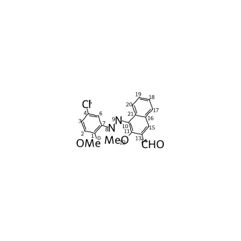 COc1ccc(Cl)cc1N=Nc1c(OC)c(C=O)cc2ccccc12